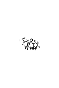 CC(C)C1CC[C@H]2CNc3ccccc3C(=O)N2C1